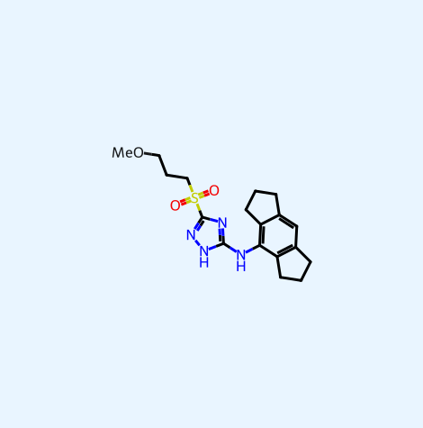 COCCCS(=O)(=O)c1n[nH]c(Nc2c3c(cc4c2CCC4)CCC3)n1